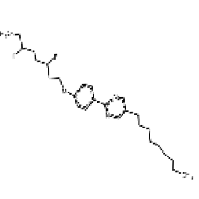 CCCCCCCCCc1cnc(-c2ccc(OCCC(F)CCC(F)CC)cc2)nc1